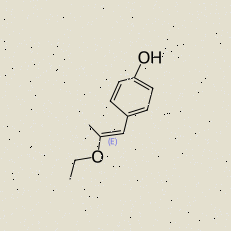 CCO/C(C)=C/c1ccc(O)cc1